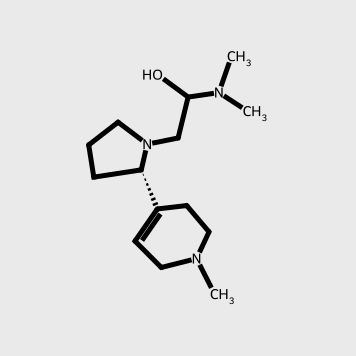 CN1CC=C([C@@H]2CCCN2CC(O)N(C)C)CC1